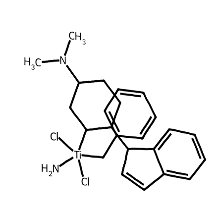 CN(C)C1CCC(C2C=Cc3ccccc32)[CH]([Ti]([NH2])([Cl])([Cl])[CH2]c2ccccc2)C1